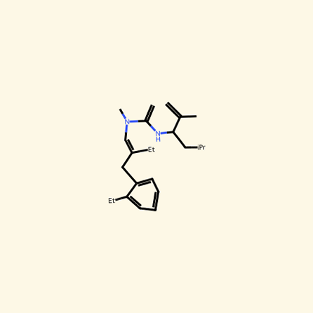 C=C(C)C(CC(C)C)NC(=C)N(C)/C=C(\CC)Cc1ccccc1CC